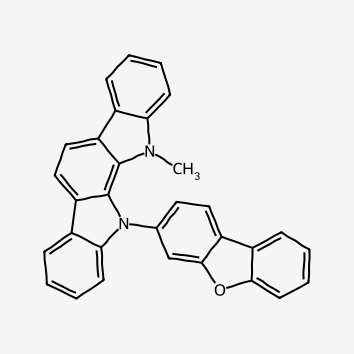 Cn1c2ccccc2c2ccc3c4ccccc4n(-c4ccc5c(c4)oc4ccccc45)c3c21